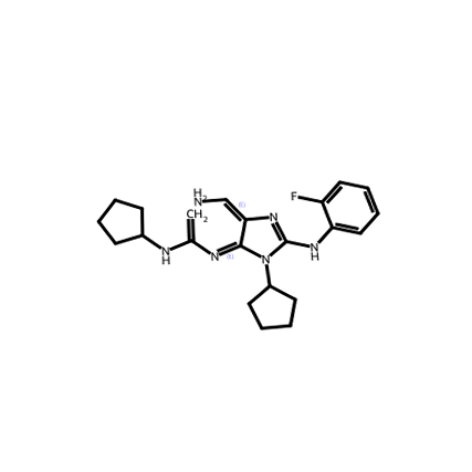 C=C(/N=C1\C(=C/N)N=C(Nc2ccccc2F)N1C1CCCC1)NC1CCCC1